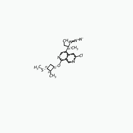 CC[C@@](C)(N=[N+]=[N-])c1cnc(O[C@H]2C[C@@H](SC)[C@@H]2C)c2cnc(Cl)cc12